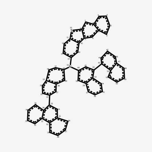 c1ccc2cc3c(cc2c1)sc1ccc(N(c2ccc4ccc(-c5cc6ccccc6c6ccccc56)cc4c2)c2cc(-c4cccc5ccccc45)c4ccccc4c2)cc13